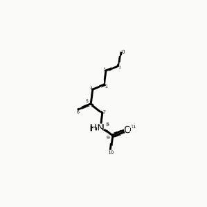 CCCCCC(C)CNC(C)=O